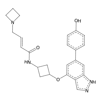 O=C(/C=C/CN1CCC1)NC1CC(Oc2cc(-c3ccc(O)cc3)cc3[nH]ncc23)C1